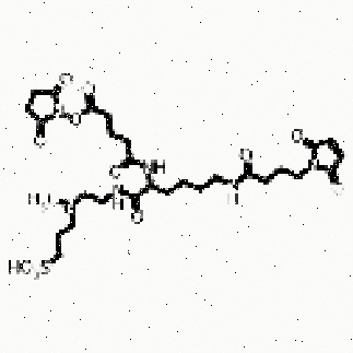 CN(CCCS(=O)(=O)O)CCNC(=O)C(CCCCNC(=O)CCCN1C(=O)C=CC1=O)NC(=O)CCCC(=O)ON1C(=O)CCC1=O